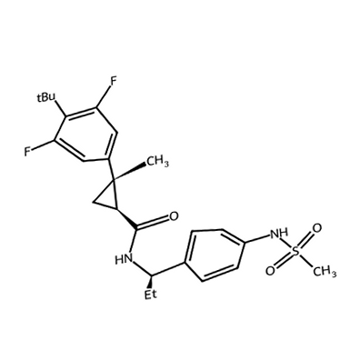 CC[C@@H](NC(=O)[C@H]1C[C@]1(C)c1cc(F)c(C(C)(C)C)c(F)c1)c1ccc(NS(C)(=O)=O)cc1